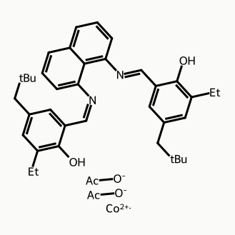 CC(=O)[O-].CC(=O)[O-].CCc1cc(CC(C)(C)C)cc(C=Nc2cccc3cccc(N=Cc4cc(CC(C)(C)C)cc(CC)c4O)c23)c1O.[Co+2]